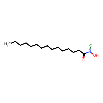 CCCCCCCCCCCCCCC(=O)N(O)Cl